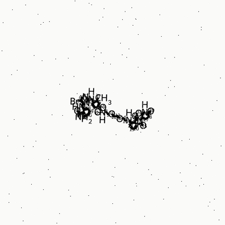 Cc1cc(S(=O)(=O)NCCOCCOCCNc2cccc3c2C(=O)N(C2CCC(=O)NC2=O)C3=O)ccc1Nc1ncc(Br)c(Nc2cccc(F)c2C(N)=O)n1